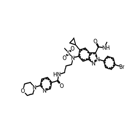 CNC(=O)c1c2cc(C3CC3)c(N(CCCNC(=O)c3ccc(N4CCOCC4)nc3)S(C)(=O)=O)cc2nn1-c1ccc(Br)cc1